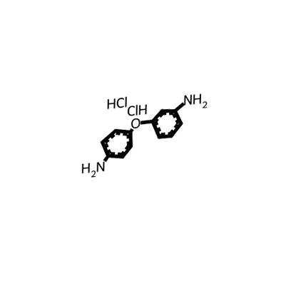 Cl.Cl.Nc1ccc(Oc2cccc(N)c2)cc1